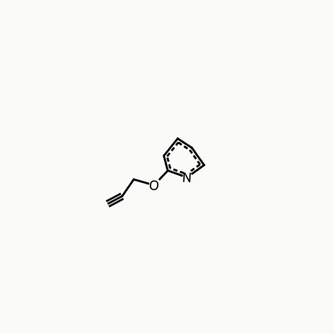 C#CCOc1ccccn1